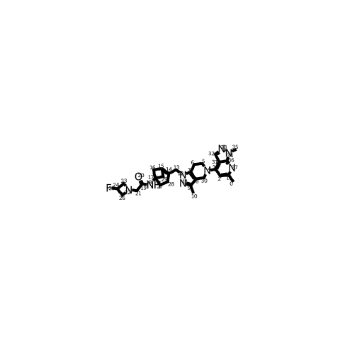 Cc1cc(N2CCc3c(c(C)nn3CC3=C4CC(NC(=O)CN5CC(F)C5)(CC3)C4)C2)c2cnn(C)c2n1